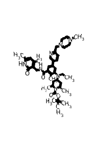 CCN(c1cc(-c2ccc(CN3CCN(C)CC3)nc2)cc(C(=O)NCc2c(C)cc(C)[nH]c2=O)c1C)C1CC(C)N(C(=O)OC(C)(C)C)[C@H](C)C1